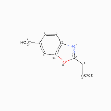 CCCCCCCCCc1nc2ccc(C(=O)O)cc2o1